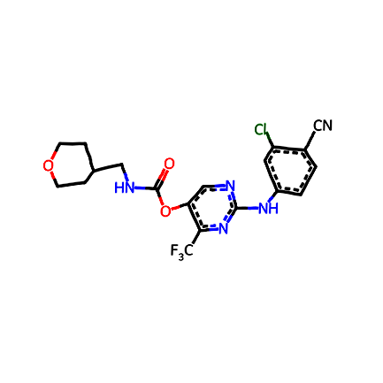 N#Cc1ccc(Nc2ncc(OC(=O)NCC3CCOCC3)c(C(F)(F)F)n2)cc1Cl